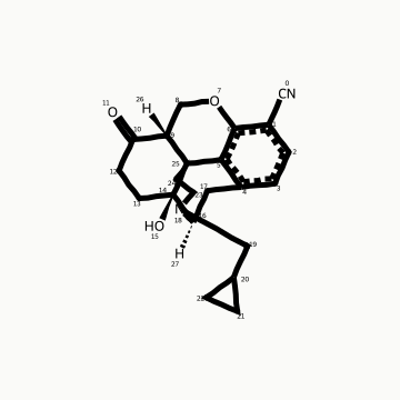 N#Cc1ccc2c3c1OC[C@H]1C(=O)CC[C@@]4(O)[C@@H](C2)N(CC2CC2)CC[C@]314